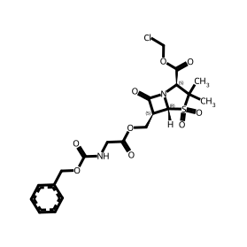 CC1(C)[C@H](C(=O)OCCl)N2C(=O)[C@H](COC(=O)CNC(=O)OCc3ccccc3)[C@H]2S1(=O)=O